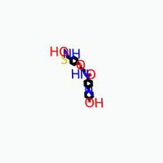 O=C(NCCOc1ccc(C(=S)NO)cc1)c1ccc(N2CCC(O)CC2)cc1